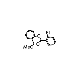 CCc1ccccc1C(=O)Oc1ccccc1COC